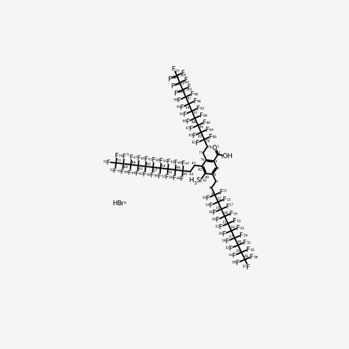 Br.O=C(O)c1cc(CCC(F)(F)C(F)(F)C(F)(F)C(F)(F)C(F)(F)C(F)(F)C(F)(F)C(F)(F)C(F)(F)C(F)(F)F)c([SiH3])c(CCC(F)(F)C(F)(F)C(F)(F)C(F)(F)C(F)(F)C(F)(F)C(F)(F)C(F)(F)C(F)(F)C(F)(F)F)c1CCC(F)(F)C(F)(F)C(F)(F)C(F)(F)C(F)(F)C(F)(F)C(F)(F)C(F)(F)C(F)(F)C(F)(F)F